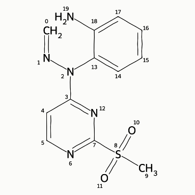 C=NN(c1ccnc(S(C)(=O)=O)n1)c1ccccc1N